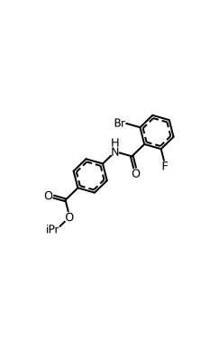 CC(C)OC(=O)c1ccc(NC(=O)c2c(F)cccc2Br)cc1